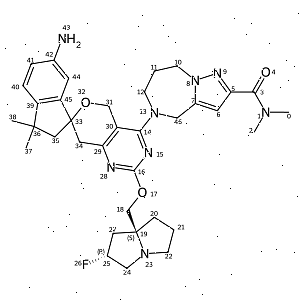 CN(C)C(=O)c1cc2n(n1)CCCN(c1nc(OC[C@@]34CCCN3C[C@H](F)C4)nc3c1COC1(C3)CC(C)(C)c3ccc(N)cc31)C2